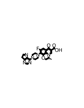 C[C@H]1COc2c(N3CCN(c4ncnc5c4N=CC5)CC3)c(F)cc3c(=O)c(C(=O)O)cn1c23